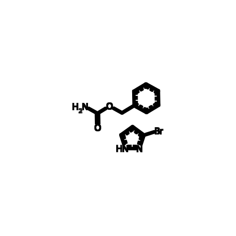 Brc1cc[nH]n1.NC(=O)OCc1ccccc1